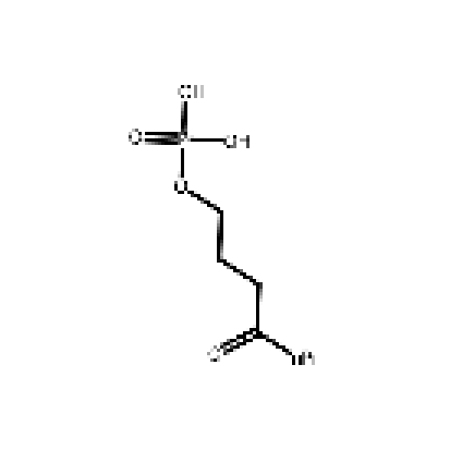 CCCC(=O)CCCOP(=O)(O)O